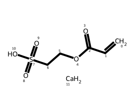 C=CC(=O)OCCS(=O)(=O)O.[CaH2]